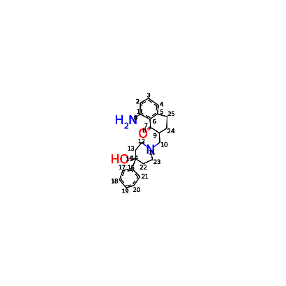 Nc1cccc2c1C(=O)C(CN1CCC(O)(c3ccccc3)CC1)CC2